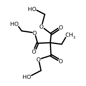 CCC(C(=O)OCO)(C(=O)OCO)C(=O)OCO